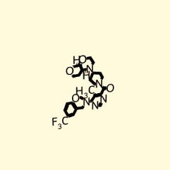 Cc1c(C(=O)N2CCC(N3CCO[C@@H]4COCC[C@@H]43)CC2)ncnc1N1COc2ccc(C(F)(F)F)cc2C1